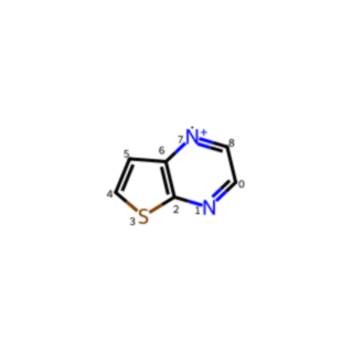 C1=Nc2sccc2[N+]=C1